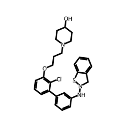 OC1CCN(CCCOc2cccc(-c3cccc(NN4Cc5ccccc5S4)c3)c2Cl)CC1